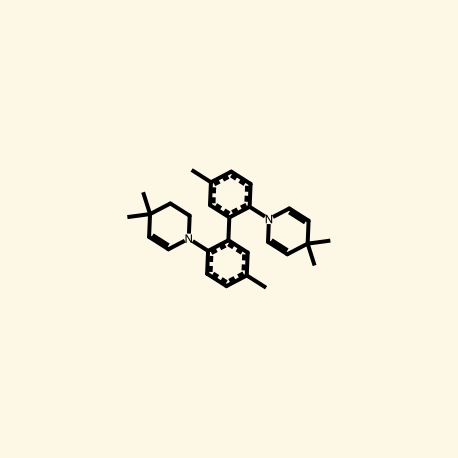 Cc1ccc(N2C=CC(C)(C)C=C2)c(-c2cc(C)ccc2N2C=CC(C)(C)CC2)c1